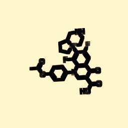 CC(=O)Oc1ccc(-n2cc(C(=O)O)c(=O)c3cc(F)c([N+]45CCCC4CNCC5)c(F)c32)cc1